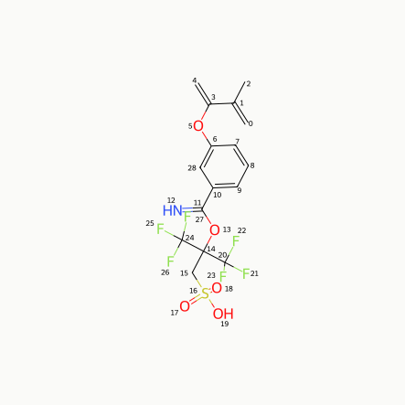 C=C(C)C(=C)Oc1cccc(C(=N)OC(CS(=O)(=O)O)(C(F)(F)F)C(F)(F)F)c1